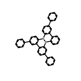 c1ccc(-c2ccc3c(c2)B2c4ccccc4-c4cc(-c5ccccc5)ccc4N2c2ccc(-c4ccccc4)cc2-3)cc1